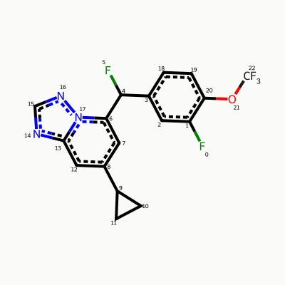 Fc1cc(C(F)c2cc(C3CC3)cc3ncnn23)ccc1OC(F)(F)F